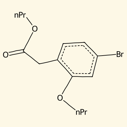 CCCOC(=O)Cc1ccc(Br)cc1OCCC